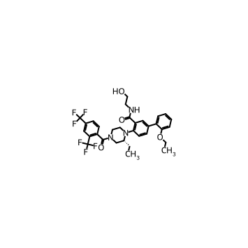 CCOc1ccccc1-c1ccc(N2CCN(C(=O)c3ccc(C(F)(F)F)cc3C(F)(F)F)C[C@H]2CC)c(C(=O)NCCO)c1